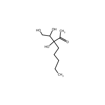 CCCCCC(O)(C(C)=O)C(O)CO